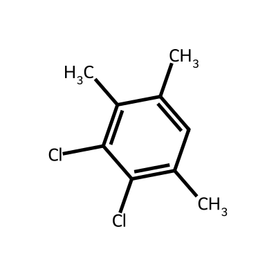 Cc1cc(C)c(Cl)c(Cl)c1C